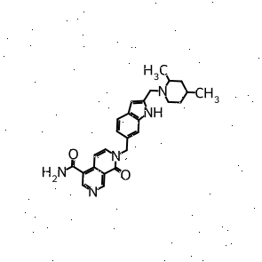 CC1CCN(Cc2cc3ccc(Cn4ccc5c(C(N)=O)cncc5c4=O)cc3[nH]2)C(C)C1